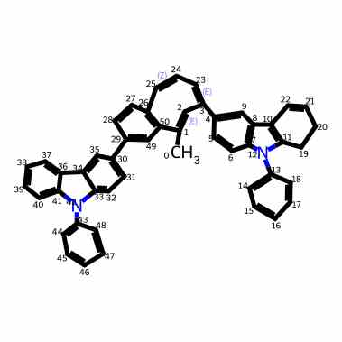 C\C1=C/C(c2ccc3c(c2)c2c(n3-c3ccccc3)CCC=C2)=C\C=C/c2ccc(-c3ccc4c(c3)c3ccccc3n4-c3ccccc3)cc21